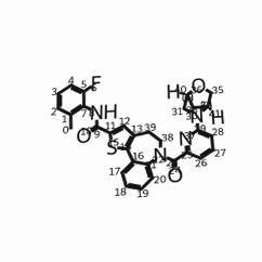 Cc1cccc(F)c1NC(=O)c1cc2c(s1)-c1ccccc1N(C(=O)c1cccc(N3C[C@H]4C[C@@H]3CO4)n1)CC2